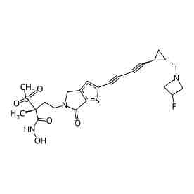 C[C@@](CCN1Cc2cc(C#CC#C[C@H]3C[C@@H]3CN3CC(F)C3)sc2C1=O)(C(=O)NO)S(C)(=O)=O